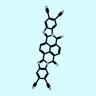 N#Cc1cc2nc3c4ccc5c6c(ccc(c(=O)n3c2cc1C#N)c46)c(=O)n1c2cc(C#N)c(C#N)cc2nc51